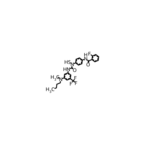 CCCCN(C)c1cc(NC(=O)N(S)c2ccc(NC(=O)c3ccccc3F)cc2)cc(C(F)(F)F)c1